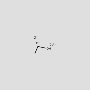 CCO.[Cl-].[Cl-].[Cu+2]